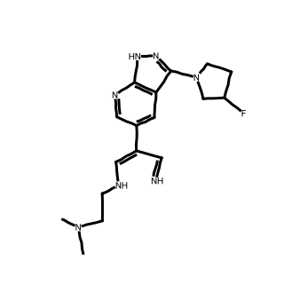 CN(C)CCN/C=C(\C=N)c1cnc2[nH]nc(N3CCC(F)C3)c2c1